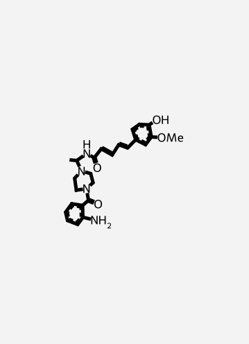 COc1cc(C=CC=CC(=O)NC(C)N2CCN(C(=O)c3ccccc3N)CC2)ccc1O